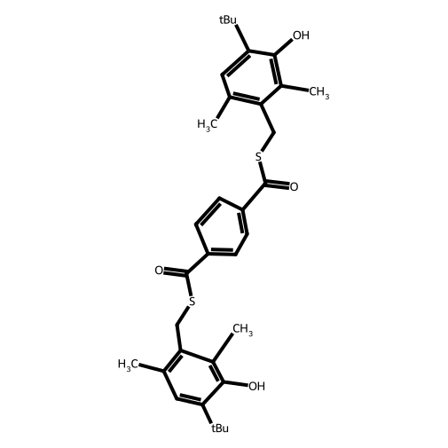 Cc1cc(C(C)(C)C)c(O)c(C)c1CSC(=O)c1ccc(C(=O)SCc2c(C)cc(C(C)(C)C)c(O)c2C)cc1